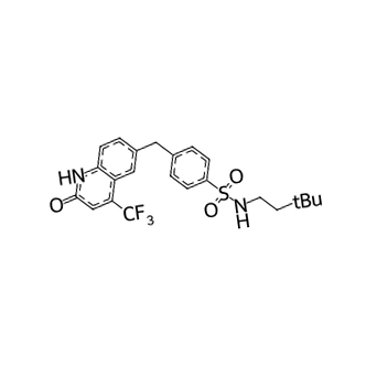 CC(C)(C)CCNS(=O)(=O)c1ccc(Cc2ccc3[nH]c(=O)cc(C(F)(F)F)c3c2)cc1